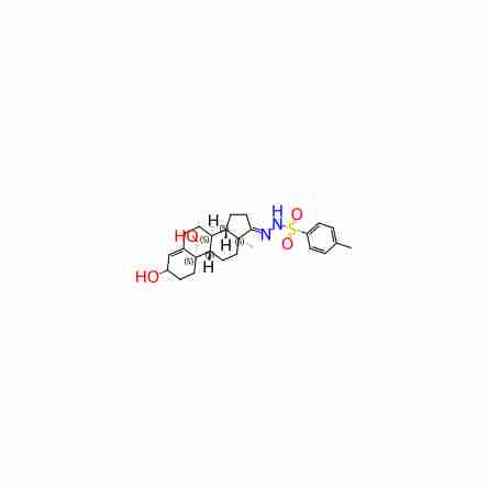 Cc1ccc(S(=O)(=O)NN=C2CC[C@H]3[C@@H]4CCC5=CC(O)CC[C@]5(CO)[C@H]4CC[C@]23C)cc1